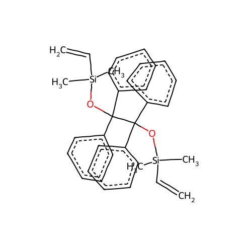 C=C[Si](C)(C)OC(c1ccccc1)(c1ccccc1)C(O[Si](C)(C)C=C)(c1ccccc1)c1ccccc1